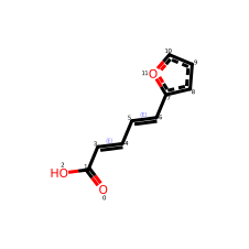 O=C(O)/C=C/C=C/c1ccco1